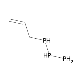 C=CCPPP